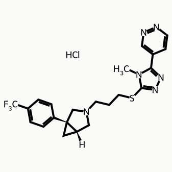 Cl.Cn1c(SCCCN2C[C@@H]3C[C@]3(c3ccc(C(F)(F)F)cc3)C2)nnc1-c1ccnnc1